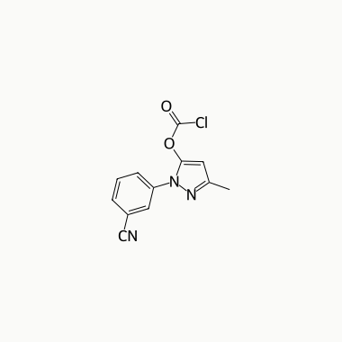 Cc1cc(OC(=O)Cl)n(-c2cccc(C#N)c2)n1